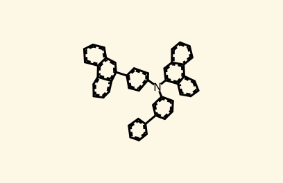 c1ccc(-c2cccc(N(c3ccc(-c4cc5ccccc5c5ccccc45)cc3)c3cc4ccccc4c4ccccc34)c2)cc1